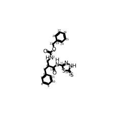 O=C(NCC(Cc1ccccc1)C(=O)Nc1n[nH]c(=S)s1)OCc1ccccc1